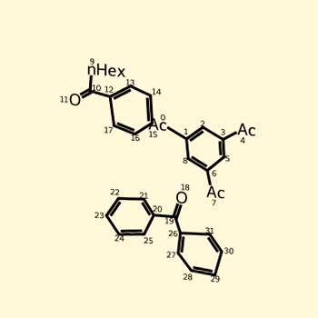 CC(=O)c1cc(C(C)=O)cc(C(C)=O)c1.CCCCCCC(=O)c1ccccc1.O=C(c1ccccc1)c1ccccc1